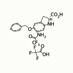 NC(=O)C(F)(F)F.O=C(O)C(F)(F)F.O=C(O)[C@H]1Cc2cc(OCc3ccccc3)ccc2N1